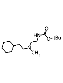 CN(CCNC(=O)OC(C)(C)C)CCC1CCCCC1